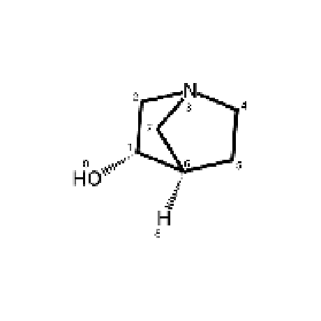 O[C@@H]1CN2CC[C@@H]1C2